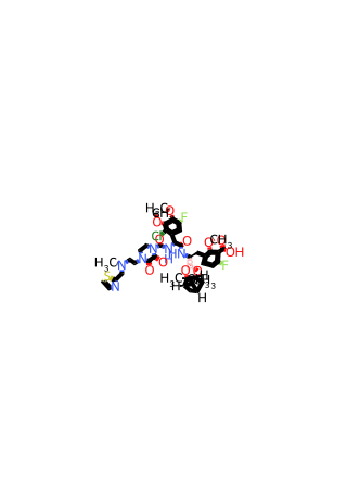 COc1c(F)cc(C(NC(=O)N2CCN(CCN(C)Cc3nccs3)C(=O)C2=O)C(=O)N[C@@H](Cc2ccc(F)c(C(=O)O)c2OC)B2O[C@@H]3C[C@@H]4C[C@@H](C4(C)C)[C@]3(C)O2)c(Cl)c1OC